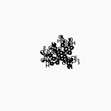 O=C(NCC1CO1)c1cccc(-c2cccc(Oc3cc4c5c(cc(Oc6cccc(-c7cccc(C(=O)NCC8CO8)c7)c6)c6c7c(Oc8cccc(-c9cccc(C(=O)NCC%10CO%10)c9)c8)cc8c9c(cc(Oc%10cccc(-c%11cccc(C(=O)NCC%12CO%12)c%11)c%10)c(c3c56)c97)C(=O)N(C(Cc3ccncc3)C(=O)OC(C(F)(F)F)C(F)(F)F)C8=O)C(=O)N(C(Cc3ccncc3)C(=O)OC(C(F)(F)F)C(F)(F)F)C4=O)c2)c1